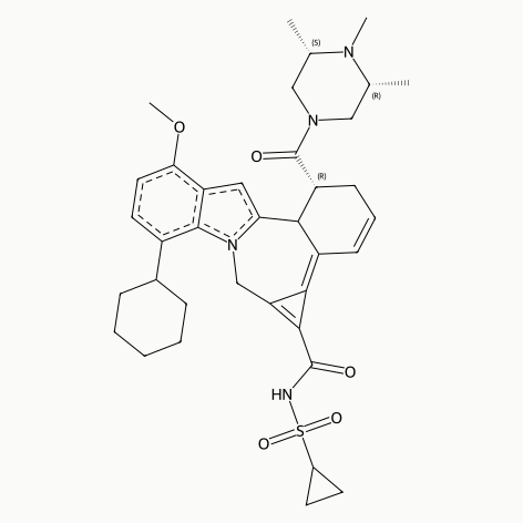 COc1ccc(C2CCCCC2)c2c1cc1n2CC2=C(C(=O)NS(=O)(=O)C3CC3)C2=C2C=CC[C@@H](C(=O)N3C[C@@H](C)N(C)[C@@H](C)C3)C21